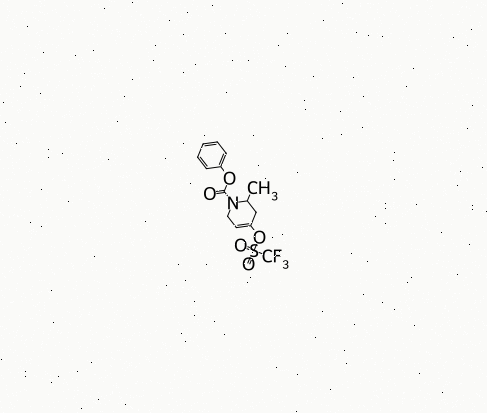 CC1CC(OS(=O)(=O)C(F)(F)F)=CCN1C(=O)Oc1ccccc1